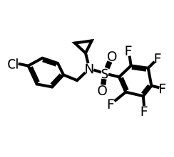 O=S(=O)(c1c(F)c(F)c(F)c(F)c1F)N(Cc1ccc(Cl)cc1)C1CC1